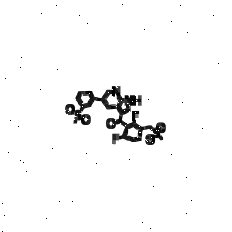 CS(=O)(=O)Cc1ccc(F)c(C(=O)c2c[nH]c3ncc(-c4cccc(S(C)(=O)=O)c4)cc23)c1F